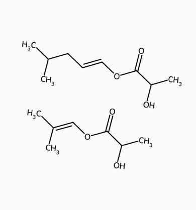 CC(C)=COC(=O)C(C)O.CC(C)CC=COC(=O)C(C)O